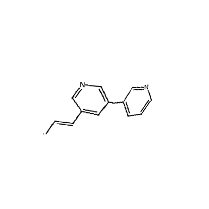 [CH2]/C=C/c1cncc(-c2cccnc2)c1